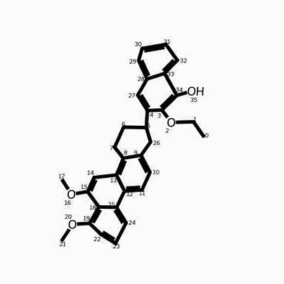 CCOc1c(C2CCc3c(ccc4c3cc(OC)c3c(OC)cccc34)C2)cc2ccccc2c1O